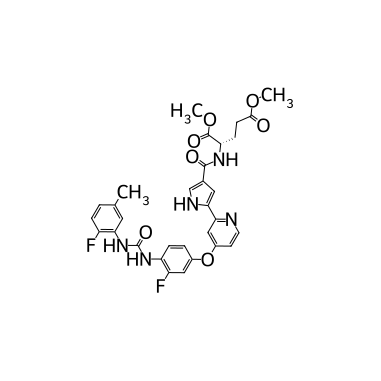 COC(=O)CC[C@H](NC(=O)c1c[nH]c(-c2cc(Oc3ccc(NC(=O)Nc4cc(C)ccc4F)c(F)c3)ccn2)c1)C(=O)OC